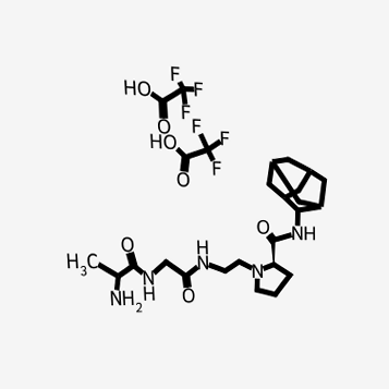 CC(N)C(=O)NCC(=O)NCCN1CCC[C@@H]1C(=O)NC1C2CC3CC(C2)CC1C3.O=C(O)C(F)(F)F.O=C(O)C(F)(F)F